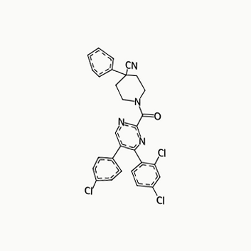 N#CC1(c2ccccc2)CCN(C(=O)c2ncc(-c3ccc(Cl)cc3)c(-c3ccc(Cl)cc3Cl)n2)CC1